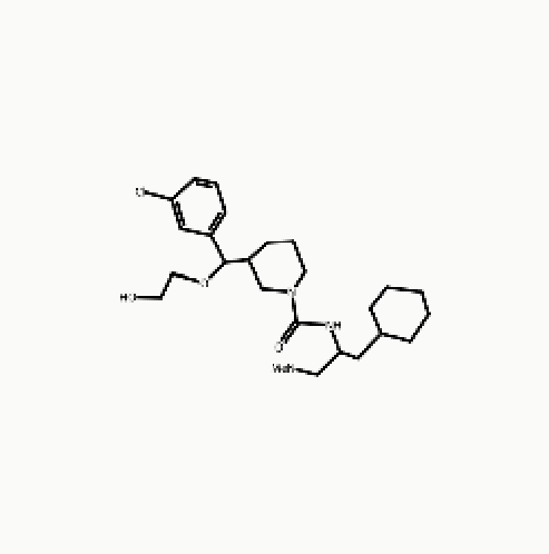 CNCC(CC1CCCCC1)NC(=O)N1CCCC(C(OCCO)c2cccc(Cl)c2)C1